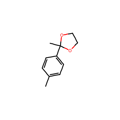 Cc1ccc(C2(C)OCCO2)cc1